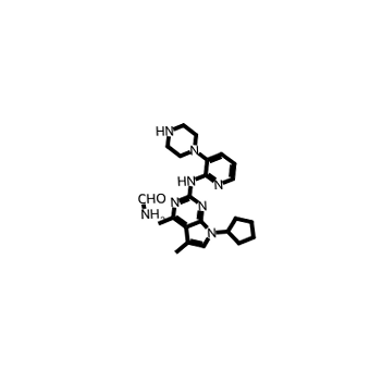 Cc1cn(C2CCCC2)c2nc(Nc3ncccc3N3CCNCC3)nc(C)c12.NC=O